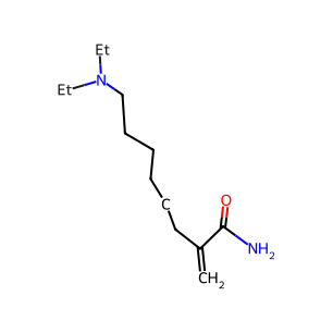 C=C(CCCCCCN(CC)CC)C(N)=O